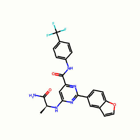 C[C@H](Nc1cc(C(=O)Nc2ccc(C(F)(F)F)cc2)nc(-c2ccc3occc3c2)n1)C(N)=O